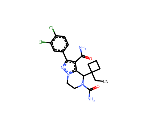 N#CCC1(C2c3c(C(N)=O)c(-c4ccc(Cl)c(Cl)c4)nn3CCN2C(N)=O)CCC1